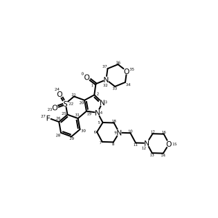 O=C(c1nn(C2CCCN(CCN3CCOCC3)C2)c2c1CS(=O)(=O)c1c(F)cccc1-2)N1CCOCC1